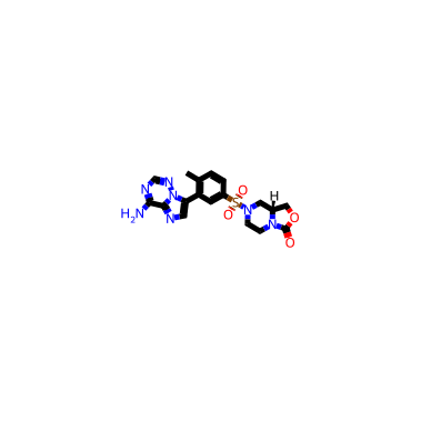 Cc1ccc(S(=O)(=O)N2CCN3C(=O)OC[C@H]3C2)cc1-c1cnc2c(N)ncnn12